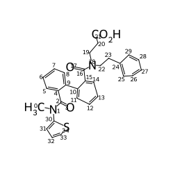 CN(C(=O)c1ccccc1-c1ccccc1C(=O)N(CCC(=O)O)CCc1ccccc1)c1cccs1